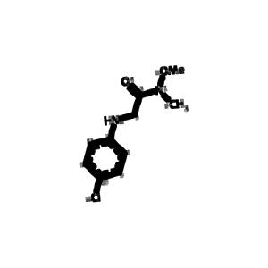 CON(C)C(=O)CNc1ccc(Cl)cc1